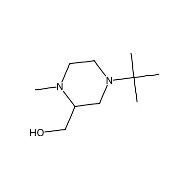 CN1CCN(C(C)(C)C)CC1CO